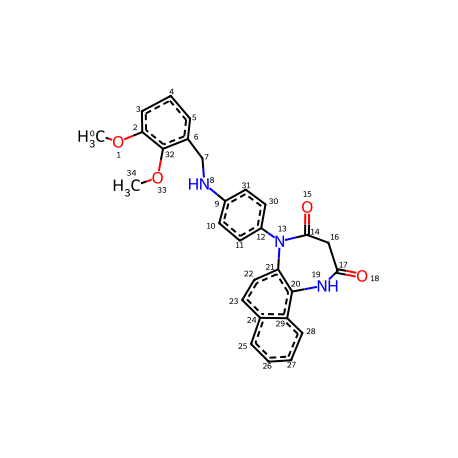 COc1cccc(CNc2ccc(N3C(=O)CC(=O)Nc4c3ccc3ccccc43)cc2)c1OC